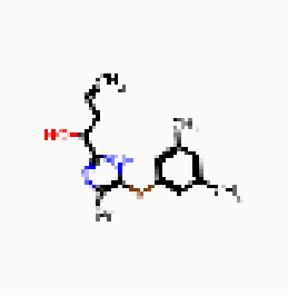 C=CCC(O)c1nc(C(C)C)c(Sc2cc(C)cc(C)c2)[nH]1